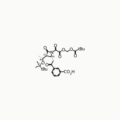 C[C@@H](O[Si](C)(C)C(C)(C)C)[C@H]1C(=O)N(C(=O)C(=O)OCOC(=O)C(C)(C)C)[C@@H]1CC(=O)c1cccc(C(=O)O)c1